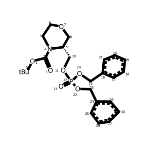 CC(C)(C)OC(=O)N1CCOC[C@@H]1COP(=O)(OCc1ccccc1)OCc1ccccc1